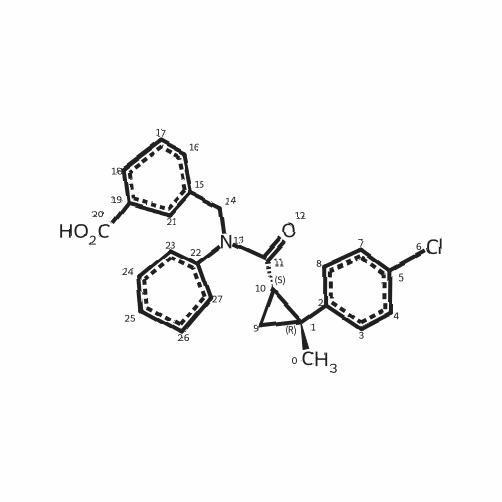 C[C@@]1(c2ccc(Cl)cc2)C[C@@H]1C(=O)N(Cc1cccc(C(=O)O)c1)c1ccccc1